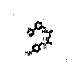 C=C(CNC(=C)NCc1ccc(N)cc1)NCc1cccc(-n2cncn2)c1